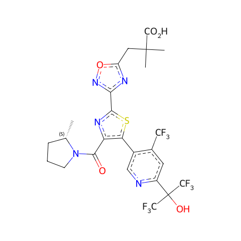 C[C@H]1CCCN1C(=O)c1nc(-c2noc(CC(C)(C)C(=O)O)n2)sc1-c1cnc(C(O)(C(F)(F)F)C(F)(F)F)cc1C(F)(F)F